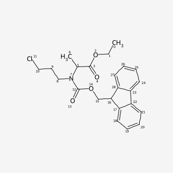 CCOC(=O)C(C)N(CCCCl)C(=O)OCC1c2ccccc2-c2ccccc21